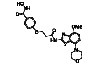 COc1ccc(N2CCOCC2)c2sc(NC(=O)CCOc3ccc(C(=O)NO)cc3)nc12